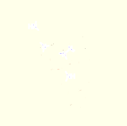 CNCCN1CC[C@H](n2nc(C(F)(F)F)cc2C(=O)NCc2ccccc2OC)C1